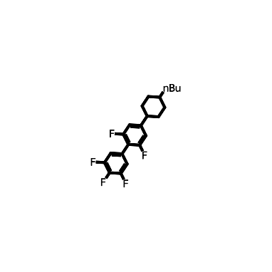 CCCCC1CCC(c2cc(F)c(-c3cc(F)c(F)c(F)c3)c(F)c2)CC1